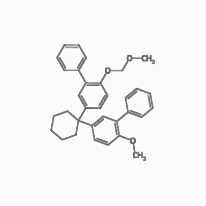 COCOc1ccc(C2(c3ccc(OC)c(-c4ccccc4)c3)CCCCC2)cc1-c1ccccc1